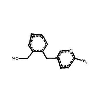 Nc1ccc(Cc2cc[c]cc2CO)cn1